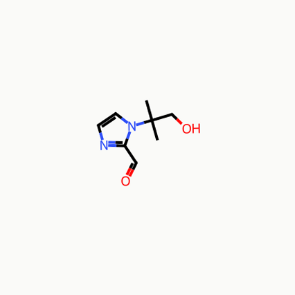 CC(C)(CO)n1ccnc1C=O